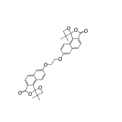 CC1(C)COC12OC(=O)c1ccc3cc(OCCOc4ccc5c6c(ccc5c4)C(=O)OC64OCC4(C)C)ccc3c12